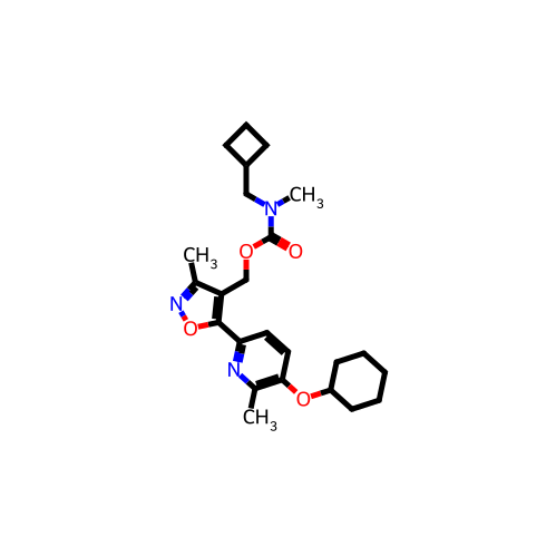 Cc1nc(-c2onc(C)c2COC(=O)N(C)CC2CCC2)ccc1OC1CCCCC1